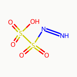 N=NS(=O)(=O)S(=O)(=O)O